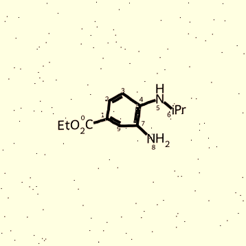 CCOC(=O)c1ccc(NC(C)C)c(N)c1